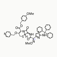 CO/N=C(\C(=O)N[C@@H]1C(=O)N2C(C(=O)OCc3ccc(OC)cc3)=C(OCc3ccncc3)CS[C@@H]12)c1csc(NC(c2ccccc2)(c2ccccc2)c2ccccc2)n1